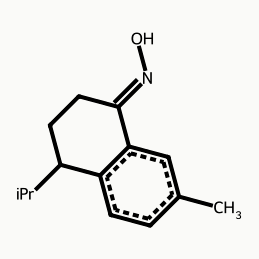 Cc1ccc2c(c1)C(=NO)CCC2C(C)C